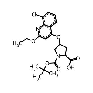 CCOc1cc(OC2CC(C(=O)O)N(C(=O)OC(C)(C)C)C2)c2cccc(Cl)c2n1